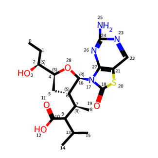 CC[C@H](O)[C@@H]1C[C@@H]([C@@H](C)C(C(=O)O)C(C)C)[C@H](n2c(=O)sc3cnc(N)nc32)O1